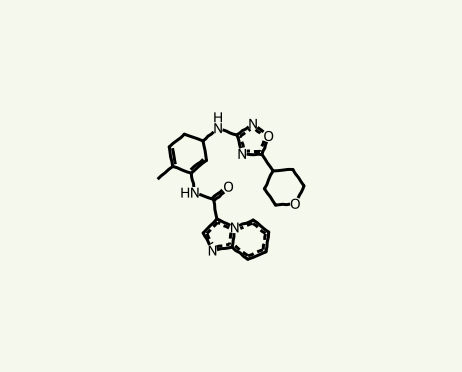 CC1=CCC(Nc2noc(C3CCOCC3)n2)C=C1NC(=O)c1cnc2ccccn12